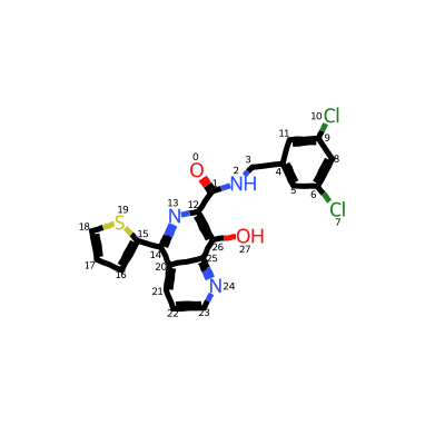 O=C(NCc1cc(Cl)cc(Cl)c1)c1nc(-c2cccs2)c2cccnc2c1O